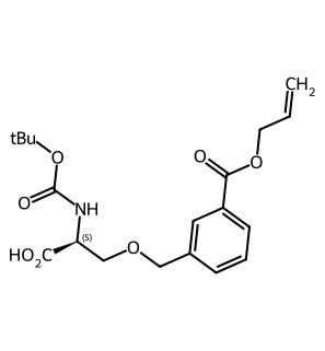 C=CCOC(=O)c1cccc(COC[C@H](NC(=O)OC(C)(C)C)C(=O)O)c1